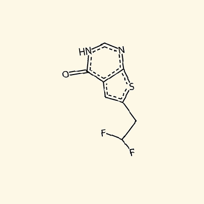 O=c1[nH]cnc2sc(CC(F)F)cc12